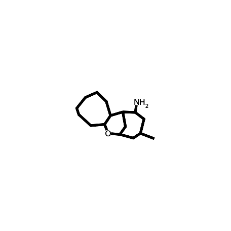 CC1CC2CC(C(N)C1)C1CCCCCCC1O2